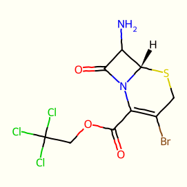 NC1C(=O)N2C(C(=O)OCC(Cl)(Cl)Cl)=C(Br)CS[C@@H]12